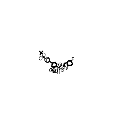 Cn1c(S(=O)(=O)Nc2ccc(C3CCN(C(=O)OC(C)(C)C)CC3)cc2S(C)(=O)=O)cc2cc(F)ccc21